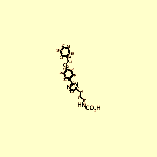 O=C(O)NCCCc1nc(-c2ccc(OCc3ccccc3)cc2)no1